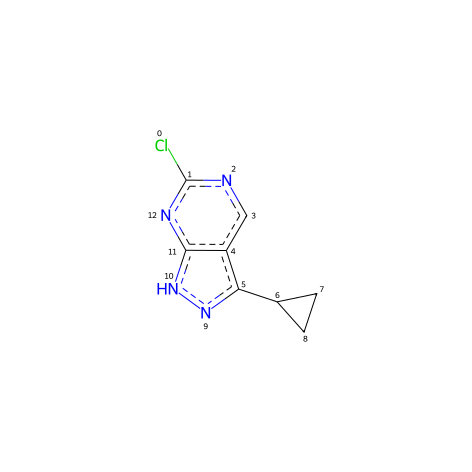 Clc1ncc2c(C3CC3)n[nH]c2n1